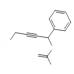 CCCCCCCCCCC#CC(OC(N)=O)c1ccccc1